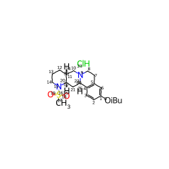 CC(C)COc1ccc2c(c1)CCN1C[C@H]3CCCN(S(C)(=O)=O)[C@H]3C[C@H]21.Cl